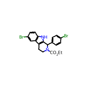 CCOC(=O)N1CCc2c([nH]c3ccc(Br)cc23)C1c1ccc(Br)cc1